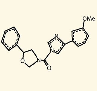 COc1cccc(-c2cn(C(=O)N3COC(c4ccccc4)C3)cn2)c1